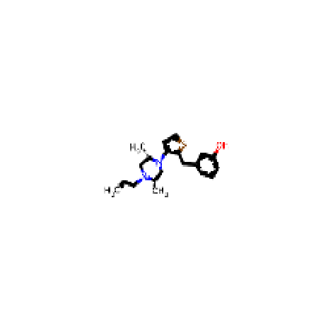 C=CCN1C[C@H](C)N(c2ccsc2Cc2cccc(O)c2)C[C@H]1C